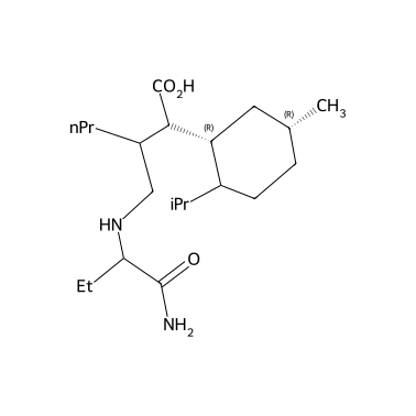 CCCC(CNC(CC)C(N)=O)C(C(=O)O)[C@@H]1C[C@H](C)CCC1C(C)C